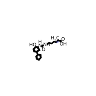 C/C(=C\CCCCNC(=O)Nc1cc(-c2ccccc2)ccc1O)C(=O)O